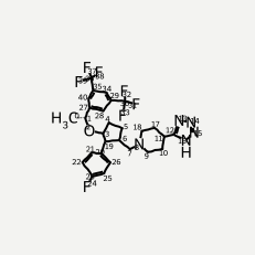 C[C@@H](OC1CCC(CN2CCC(c3nnn[nH]3)CC2)C1c1ccc(F)cc1)c1cc(C(F)(F)F)cc(C(F)(F)F)c1